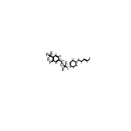 CC=CCC[C@H]1CC[C@H](CC(F)(F)OCc2ccc(C(F)(F)F)c(F)c2)CC1